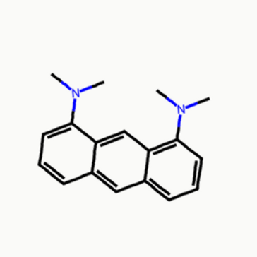 CN(C)c1cccc2cc3cccc(N(C)C)c3cc12